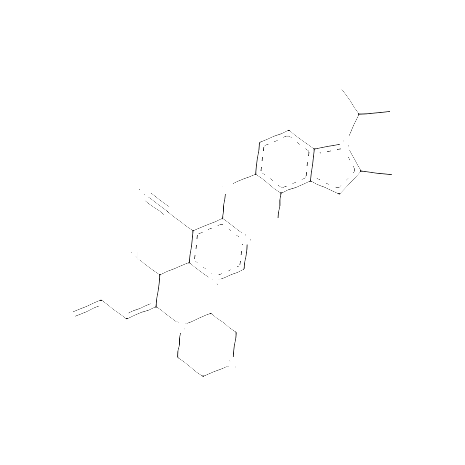 C=C/C=C(\C(N)c1ncnc(Oc2ccc3c(cc(C)n3C(C)C)c2F)c1C#N)N1CCNCC1